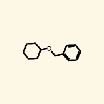 [CH]1CCCCC1OCc1ccccc1